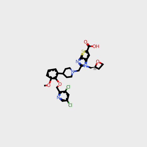 COc1cccc(C2CCN(Cc3nc4sc(C(=O)O)cc4n3C[C@@H]3CCO3)CC2)c1OCc1ncc(Cl)cc1Cl